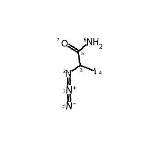 [N-]=[N+]=NC(I)C(N)=O